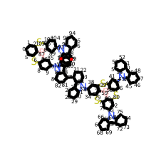 c1cc2c3c(c1)Sc1ccc(-n4c5ccccc5c5c(-c6cccc7c6c6ccccc6n7-c6cc7c8c(c6)Sc6cc(-n9c%10ccccc%10c%10ccccc%109)cc9c6B8c6c(cc(-n8c%10ccccc%10c%10ccccc%108)cc6S7)S9)cccc54)cc1B3c1cc(-n3c4ccccc4c4ccccc43)ccc1S2